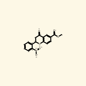 COC(=O)c1ccc2c(c1)C(=O)CC(c1ccccc1[N+](=O)[O-])O2